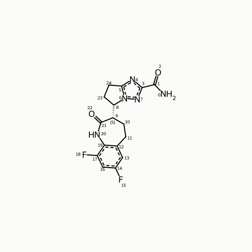 NC(=O)c1nc2n(n1)C([C@@H]1CCc3cc(F)cc(F)c3NC1=O)CC2